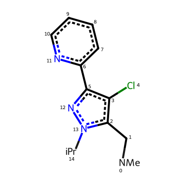 CNCc1c(Cl)c(-c2ccccn2)nn1C(C)C